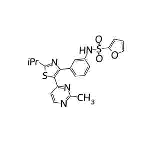 Cc1nccc(-c2sc(C(C)C)nc2-c2cccc(NS(=O)(=O)c3ccco3)c2)n1